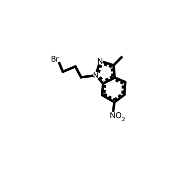 Cc1nn(CCCBr)c2cc([N+](=O)[O-])ccc12